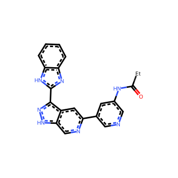 CCC(=O)Nc1cncc(-c2cc3c(-c4nc5ccccc5[nH]4)n[nH]c3cn2)c1